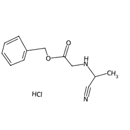 CC(C#N)NCC(=O)OCc1ccccc1.Cl